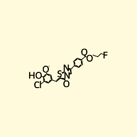 COc1cc(/C=c2\sc3nc(-c4ccc(C(=O)OCCCF)cc4)cn3c2=O)cc(Cl)c1O